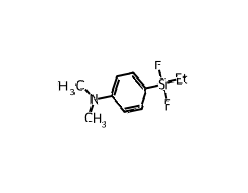 CC[Si](F)(F)c1ccc(N(C)C)cc1